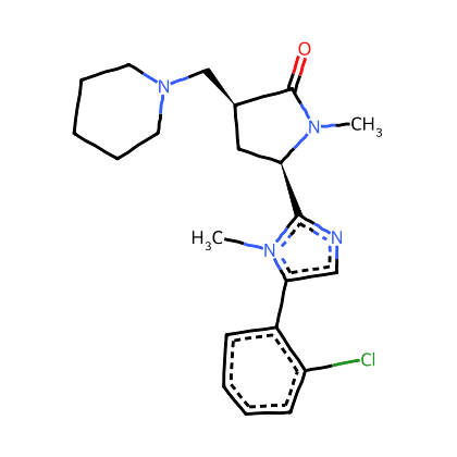 CN1C(=O)[C@H](CN2CCCCC2)C[C@@H]1c1ncc(-c2ccccc2Cl)n1C